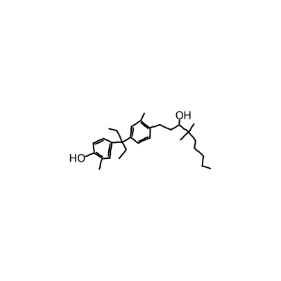 CCCCCC(C)(C)C(O)CCc1ccc(C(CC)(CC)c2ccc(O)c(C)c2)cc1C